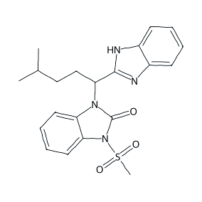 CC(C)CCC(c1nc2ccccc2[nH]1)n1c(=O)n(S(C)(=O)=O)c2ccccc21